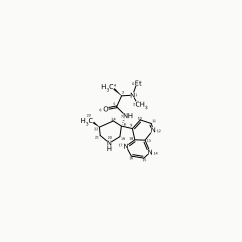 CCN(C)[C@H](C)C(=O)N[C@]1(c2ccnc3nccnc23)CNC[C@@H](C)C1